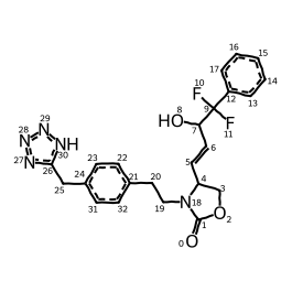 O=C1OCC(/C=C/C(O)C(F)(F)c2ccccc2)N1CCc1ccc(Cc2nnn[nH]2)cc1